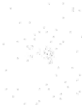 Cc1ccc(N(C)S(=O)(=O)c2cccnc2Cl)c2[nH]c(C(=O)NCC(CN3CCOCC3)SCc3ccccc3)cc12